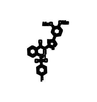 COc1ccc(-c2csc(NC(=O)c3ccccc3NS(=O)(=O)c3ccc(F)cc3)n2)cc1OC